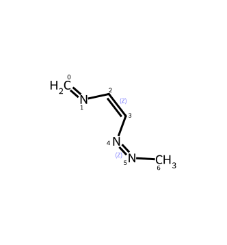 C=N/C=C\N=N/C